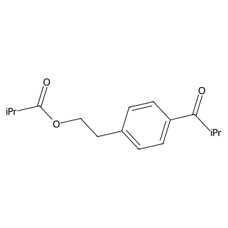 CC(C)C(=O)OCCc1ccc(C(=O)C(C)C)cc1